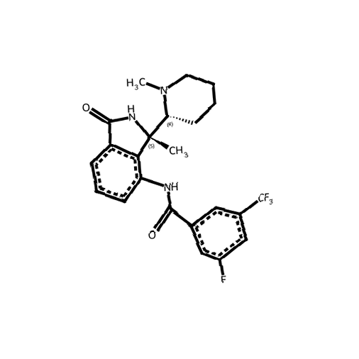 CN1CCCC[C@@H]1[C@@]1(C)NC(=O)c2cccc(NC(=O)c3cc(F)cc(C(F)(F)F)c3)c21